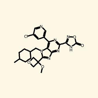 COC1(c2nc3nc(-c4noc(=O)[nH]4)nc(-c4cncc(Cl)c4)c3n2CC2CCC(C)CC2)COC1